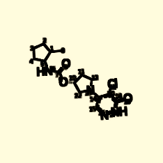 CC1CCCC1NC(=O)O[C@@H]1CCN(c2cn[nH]c(=O)c2Cl)C1